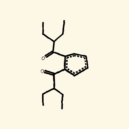 CCC(CC)C(=O)c1ccccc1C(=O)C(CC)CC